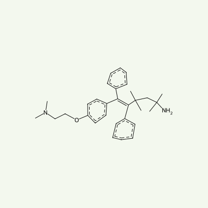 CN(C)CCOc1ccc(/C(=C(\c2ccccc2)C(C)(C)CC(C)(C)N)c2ccccc2)cc1